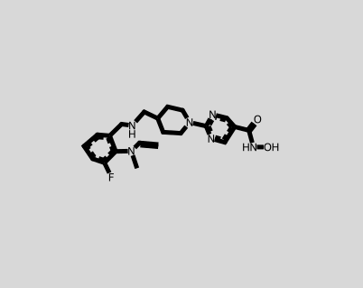 C=CN(C)c1c(F)cccc1CNCC1CCN(c2ncc(C(=O)NO)cn2)CC1